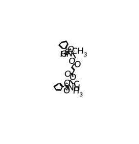 C[C@H](COC(=O)/C=C/C(=O)OC[C@@H](C)NS(=O)(=O)c1ccccc1)NS(=O)(=O)c1ccccc1